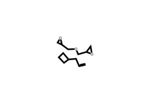 C(OCC1CO1)C1CO1.C=CCC1CCC1